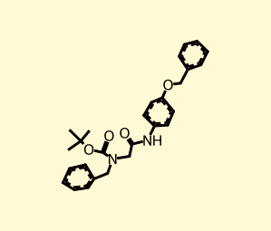 CC(C)(C)OC(=O)N(CC(=O)Nc1ccc(OCc2ccccc2)cc1)Cc1ccccc1